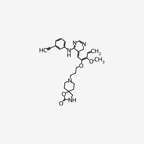 C#Cc1cccc(NC2=NC=NC/C2=C\C(OCCCN2CCC3(CC2)CNC(=O)O3)=C(/C=C)OC)c1